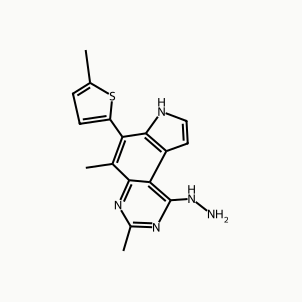 Cc1nc(NN)c2c(n1)c(C)c(-c1ccc(C)s1)c1[nH]ccc12